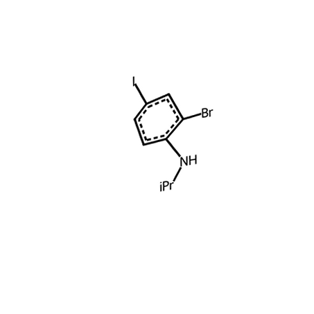 CC(C)Nc1ccc(I)cc1Br